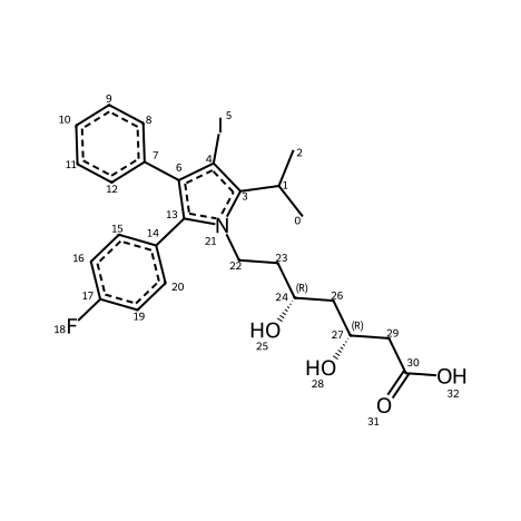 CC(C)c1c(I)c(-c2ccccc2)c(-c2ccc(F)cc2)n1CC[C@@H](O)C[C@@H](O)CC(=O)O